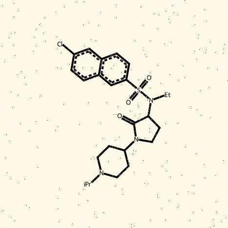 CCN(C1CCN(C2CCN(C(C)C)CC2)C1=O)S(=O)(=O)c1ccc2cc(Cl)ccc2c1